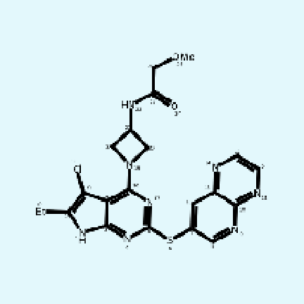 CCc1[nH]c2nc(Sc3cnc4nccnc4c3)nc(N3CC(NC(=O)COC)C3)c2c1Cl